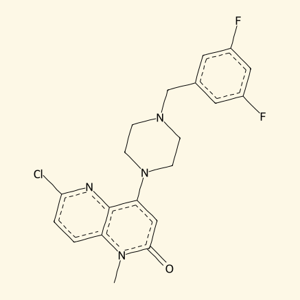 Cn1c(=O)cc(N2CCN(Cc3cc(F)cc(F)c3)CC2)c2nc(Cl)ccc21